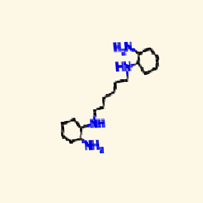 NC1CCCCC1NCCCCCCNC1CCCCC1N